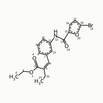 CCOC(=O)C(=Cc1cccc(NC(=O)c2ccc(Br)o2)c1)CC